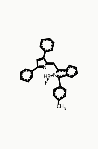 Cc1ccc(-c2c3ccccc3c(/C=C3\N=C(c4ccccc4)C=C3c3ccccc3)n2BF)cc1